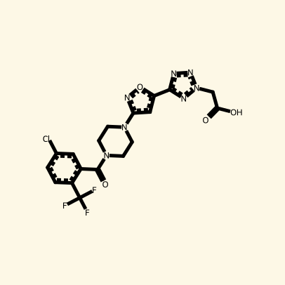 O=C(O)Cn1nnc(-c2cc(N3CCN(C(=O)c4cc(Cl)ccc4C(F)(F)F)CC3)no2)n1